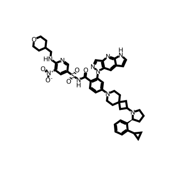 O=C(NS(=O)(=O)c1cnc(NCC2CCOCC2)c([N+](=O)[O-])c1)c1ccc(N2CCC3(CC2)CC(N2CCC[C@H]2c2ccccc2C2CC2)C3)cc1-n1ncc2nc3[nH]ccc3cc21